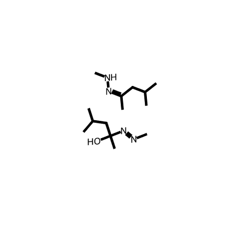 CN=NC(C)(O)CC(C)C.CNN=C(C)CC(C)C